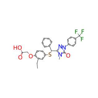 CCc1cc(SC(c2ccccc2)c2nn(-c3ccc(C(F)(F)F)cc3)c(=O)n2C)ccc1OCC(=O)O